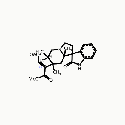 CC[C@@]1(C)CN2CCC3(C(=O)Nc4ccccc43)C2(C)CC1(C)/C(=C\OC)C(=O)OC